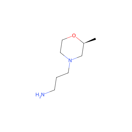 C[C@H]1CN(CCCN)CCO1